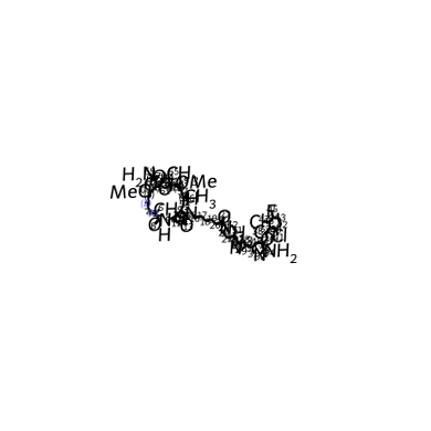 CO[C@H]1/C=C\C=C(/C)C(=O)NC2=CC(=O)C(NCCCCCC(=O)N3CCC(n4cc(-c5cnc(N)c(OC(C)c6c(Cl)ccc(F)c6Cl)c5)cn4)CC3)=C(C[C@@H](C)C[C@H](OC)[C@H]3OC(=C[C@@H]3C)[C@@H]1OC(N)=O)C2=O